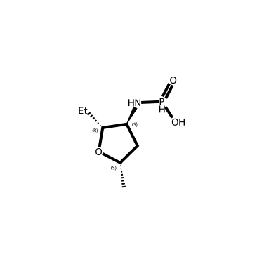 CC[C@H]1O[C@@H](C)C[C@@H]1N[PH](=O)O